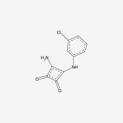 Nc1c(Nc2cccc(Cl)c2)c(=O)c1=O